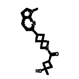 Cn1ccc2ccc(C3CC4(C3)CN(C(=O)C3CC(C)(O)C3)C4)nc21